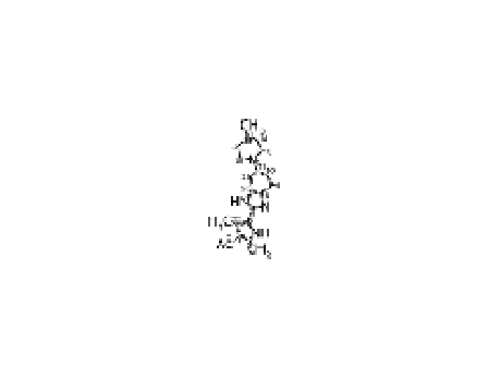 CC(=O)c1c(C)[nH]c(-c2nc3ccc(N4CCN(C)CC4)cc3[nH]2)c1C